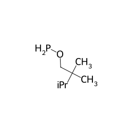 CC(C)C(C)(C)COP